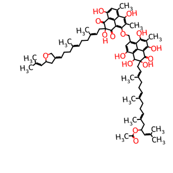 CC(=O)OC(C=C(C)C)C/C(C)=C/CC/C(C)=C/CC/C(C)=C/CC1(O)C(=O)c2c(O)c(C)c(O)c3c(COc4c(C)c(O)c5c(C)cc(O)c6c5c4C(=O)C(O)(C/C=C(\C)CC/C=C(\C)CC/C=C4\COC(C=C(C)C)C4)C6=O)cc(O)c(c23)C1O